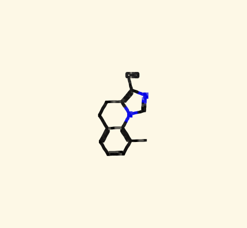 Cc1cccc2c1-n1cnc(C=O)c1CC2